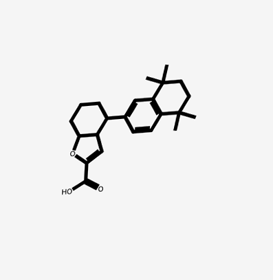 CC1(C)CCC(C)(C)c2cc(C3CCCC4OC(C(=O)O)=CC43)ccc21